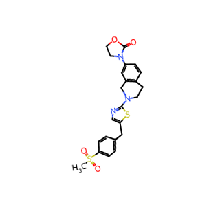 CS(=O)(=O)c1ccc(Cc2cnc(N3CCc4ccc(N5CCOC5=O)cc4C3)s2)cc1